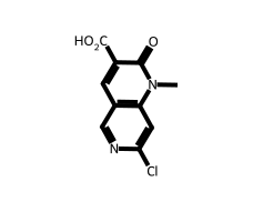 Cn1c(=O)c(C(=O)O)cc2cnc(Cl)cc21